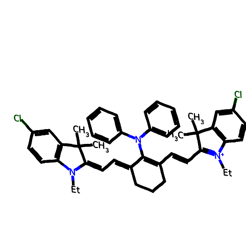 CCN1/C(=C/C=C2\CCCC(/C=C/C3=[N+](CC)c4ccc(Cl)cc4C3(C)C)=C2N(c2ccccc2)c2ccccc2)C(C)(C)c2cc(Cl)ccc21